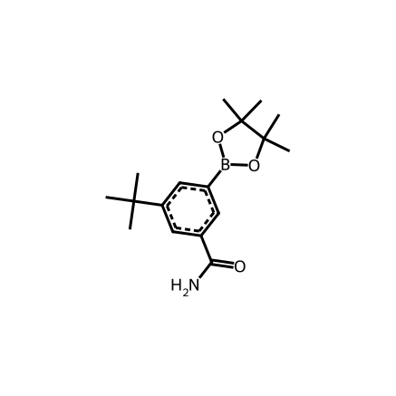 CC(C)(C)c1cc(B2OC(C)(C)C(C)(C)O2)cc(C(N)=O)c1